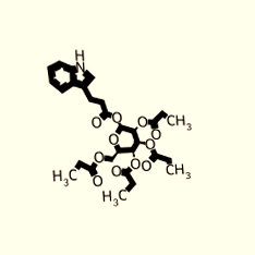 CCC(=O)OC[C@H]1O[C@@H](OC(=O)CCc2c[nH]c3ccccc23)[C@H](OC(=O)CC)[C@@H](OC(=O)CC)[C@@H]1OC(=O)CC